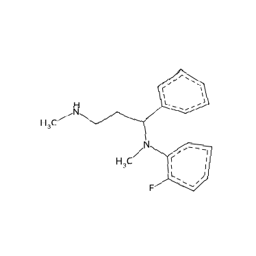 CNCCC(c1ccccc1)N(C)c1ccccc1F